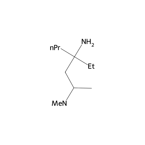 CCCC(N)(CC)CC(C)NC